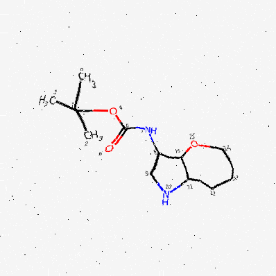 CC(C)(C)OC(=O)NC1CNC2CCCOC21